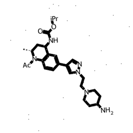 CC(=O)N1c2ccc(-c3cnn(CCN4CCC(N)CC4)c3)cc2C(NC(=O)OC(C)C)C[C@H]1C